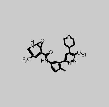 CCOc1nnc(-c2cc(NC(=O)C3=CC(C(F)(F)F)=CNC4OC34)ccc2C)cc1C1CCOCC1